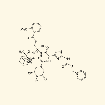 CCN1C(=O)CN(C(=O)NC(C(=O)N[C@](COC(=O)c2ccccc2OC)(B2OC3CC4CC(C4(C)C)[C@]3(C)O2)C(C)(C)C)c2csc(NC(=O)OCc3ccccc3)n2)CC1=O